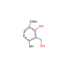 CCCc1ccc(OC)c(O)c1CO